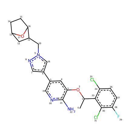 CC(Oc1cc(-c2cnn(CC3CC4CCC3O4)c2)cnc1N)c1c(Cl)ccc(F)c1Cl